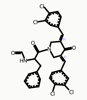 O=CNC(Cc1ccccc1)C(=O)N1C/C(=C\c2ccc(Cl)c(Cl)c2)C(=O)/C(=C/c2ccc(Cl)c(Cl)c2)C1